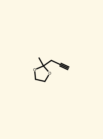 C#CCC1(C)OCCO1